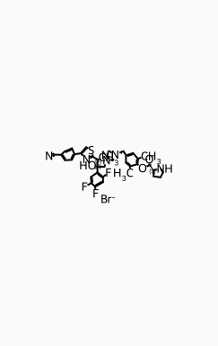 Cc1cc(C[n+]2cnn(C[C@](O)(c3cc(F)c(F)cc3F)[C@@H](C)c3nc(-c4ccc(C#N)cc4)cs3)c2)cc(C)c1OC(=O)[C@@H]1CCCN1.[Br-]